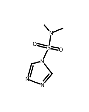 CN(C)S(=O)(=O)n1cnnc1